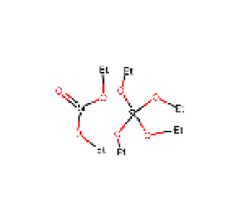 CCO[Si](=O)OCC.CCO[Si](OCC)(OCC)OCC